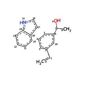 C=Cc1cccc(C(C)O)c1.c1ccc2[nH]ccc2c1